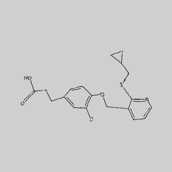 O=C(O)CCc1ccc(OCc2cccnc2SCC2CC2)c(Cl)c1